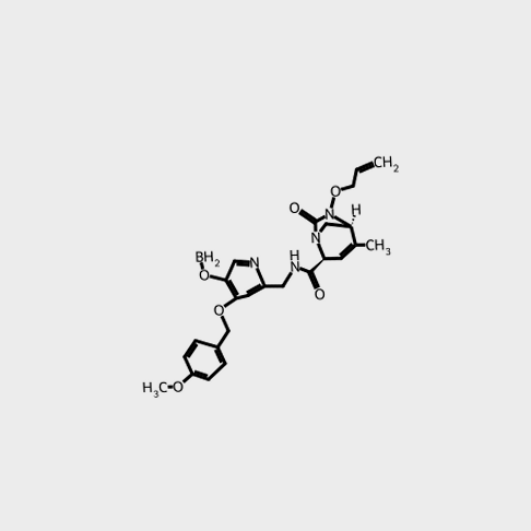 BOc1cnc(CNC(=O)[C@@H]2C=C(C)[C@H]3CN2C(=O)N3OCC=C)cc1OCc1ccc(OC)cc1